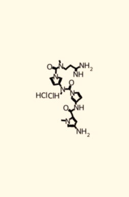 CN(CCC(=N)N)C(=O)n1ccc(N(C)C(=O)n2ccc(NC(=O)c3cc(N)cn3C)c2)c1.Cl.Cl